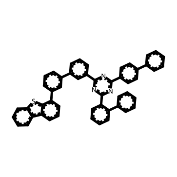 c1ccc(-c2ccc(-c3nc(-c4cccc(-c5cccc(-c6cccc7c6sc6ccccc67)c5)c4)nc(-c4ccccc4-c4ccccc4)n3)cc2)cc1